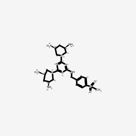 CS(=O)(=O)c1ccc(CNc2nc(N3C[C@H](N)C[C@H](N)C3)nc(N3C[C@H](N)C[C@H](N)C3)n2)cc1